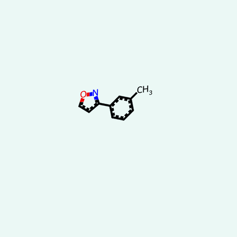 Cc1cccc(-c2ccon2)c1